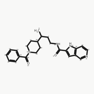 CC(CCNC(=O)c1cc2cnccc2[nH]1)C1CCN(C(=O)c2ccccc2)CC1